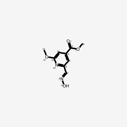 COC(=O)c1cc(C=NO)nc(OC)c1